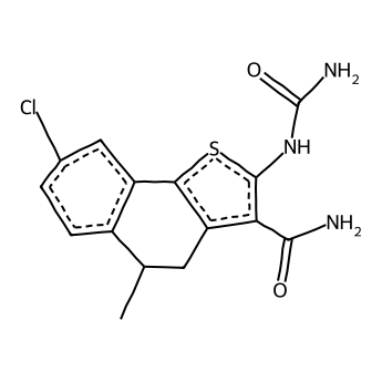 CC1Cc2c(sc(NC(N)=O)c2C(N)=O)-c2cc(Cl)ccc21